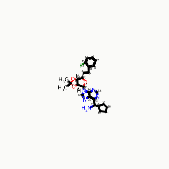 CC1(C)O[C@H]2[C@H](O1)[C@@H](C=Cc1ccccc1F)O[C@H]2n1cnc2c(C(N)C3CCCC3)ncnc21